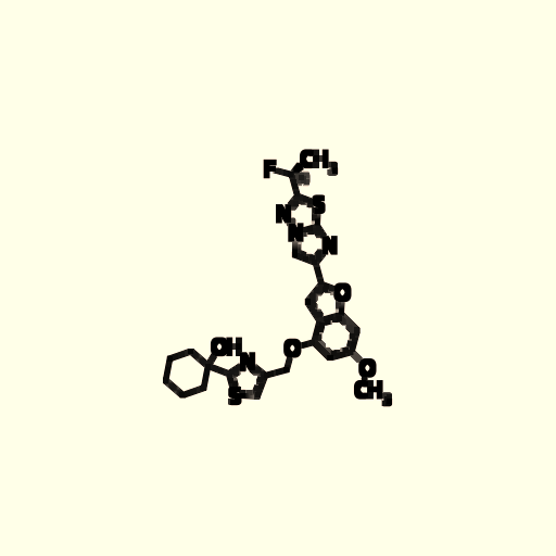 COc1cc(OCc2csc(C3(O)CCCCC3)n2)c2cc(-c3cn4nc([C@H](C)F)sc4n3)oc2c1